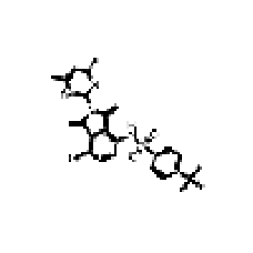 C=c1c2c(Cl)ccc(NS(=O)(=O)c3ccc(C(C)(C)C)cc3)c2c(=C)n1C1N=C(C)C=C(C)N1